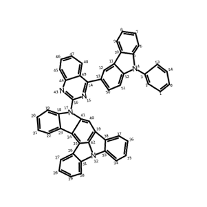 c1ccc(-n2c3ccccc3c3cc(-c4nc(-n5c6ccccc6c6c7c8ccccc8n8c9ccccc9c(cc65)c78)nc5ccccc45)ccc32)cc1